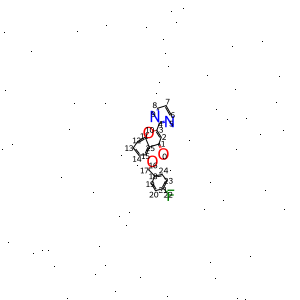 O=c1cc(-c2ncccn2)oc2cccc(OCc3ccc(F)cc3)c12